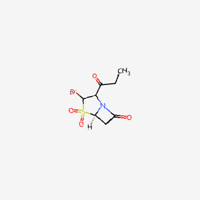 CCC(=O)C1C(Br)S(=O)(=O)[C@@H]2CC(=O)N12